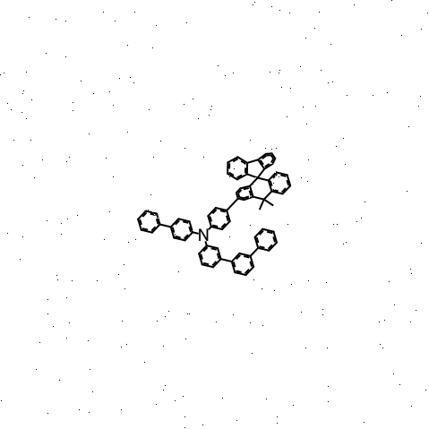 CC1(C)c2ccccc2C2(c3ccccc3-c3ccccc32)c2ccc(-c3ccc(N(c4ccc(-c5ccccc5)cc4)c4cccc(-c5cccc(-c6ccccc6)c5)c4)cc3)cc21